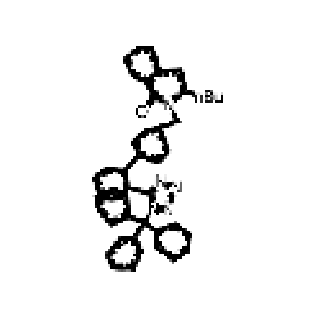 CCCCc1cc2ccccc2c(=O)n1Cc1ccc(-c2ccccc2-c2nnnn2C(c2ccccc2)(c2ccccc2)c2ccccc2)cc1